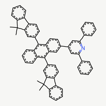 CC1(C)c2ccccc2-c2ccc(-c3c4ccccc4c(-c4ccc5c(c4)C(C)(C)c4ccccc4-5)c4cc(-c5cc(-c6ccccc6)nc(-c6ccccc6)c5)ccc34)cc21